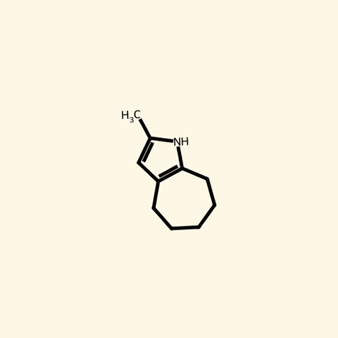 Cc1cc2c([nH]1)CCCCC2